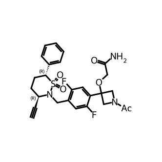 C#C[C@H]1CC[C@H](c2ccccc2)S(=O)(=O)N1Cc1cc(F)c(C2(OCC(N)=O)CN(C(C)=O)C2)cc1F